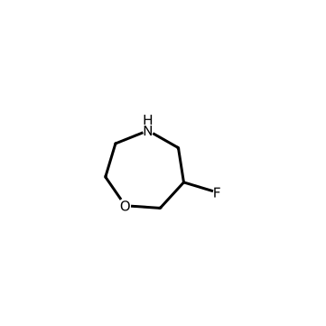 FC1CNCCOC1